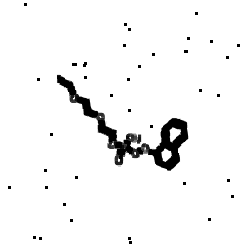 CCOCCOCCOP(=O)(O)OOc1cccc2ccccc12